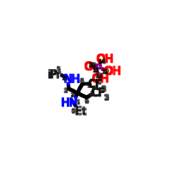 CCNC(CNC(C)C)(CC(F)(F)F)CC(F)(F)F.O=P(O)(O)O